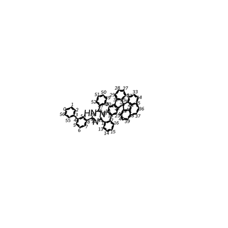 c1ccc(-c2cccc(C3=NC(c4ccccc4-c4ccc5c(c4)C4(c6ccccc6-5)c5cccc6ccc7cccc4c7c56)=NC(c4ccccc4)N3)c2)cc1